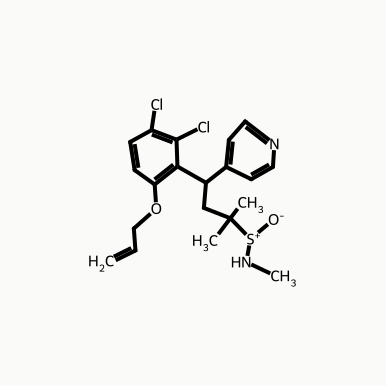 C=CCOc1ccc(Cl)c(Cl)c1C(CC(C)(C)[S+]([O-])NC)c1ccncc1